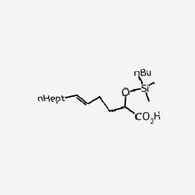 CCCCCCC/C=C/CCC(O[Si](C)(C)CCCC)C(=O)O